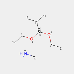 CCO[SiH](OCC)C(C)C.CN